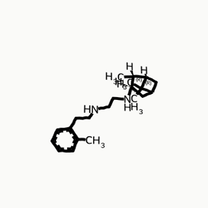 Cc1ccccc1CCNCCN[C@@H]1CC2C[C@H]([C@H]1C)C2(C)C